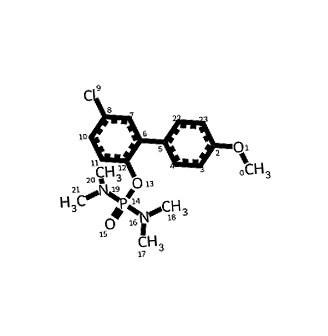 COc1ccc(-c2cc(Cl)ccc2OP(=O)(N(C)C)N(C)C)cc1